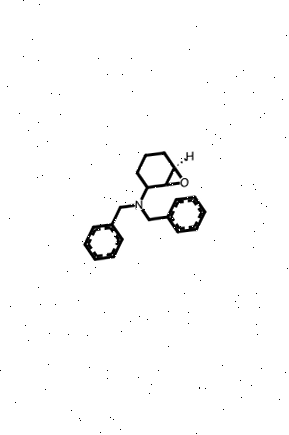 c1ccc(CN(Cc2ccccc2)C2CCC[C@H]3OC23)cc1